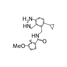 COc1ccc(C(=O)NCc2c(C3CC3)ccc(N)c2C=N)s1